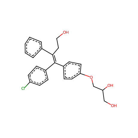 OCCC(=C(c1ccc(Cl)cc1)c1ccc(OCC(O)CO)cc1)c1ccccc1